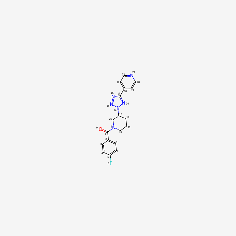 O=C(c1ccc(F)cc1)N1CCCC(n2nnc(-c3ccncc3)n2)C1